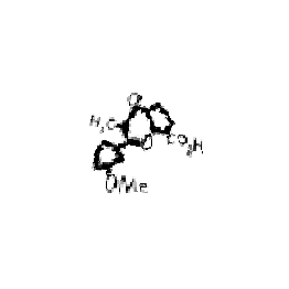 COc1cccc(-c2oc3c(C(=O)O)cccc3c(=O)c2C)c1